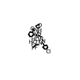 O=C(NC1CCOC1)c1ccccc1-n1cnc(CN2N=C(c3ccc(Cl)cc3)N(C[C@H](O)C(F)(F)F)C2O)n1